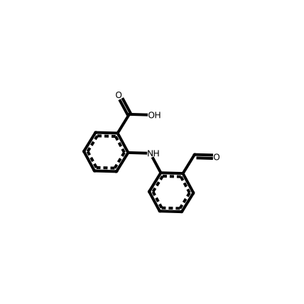 O=Cc1ccccc1Nc1ccccc1C(=O)O